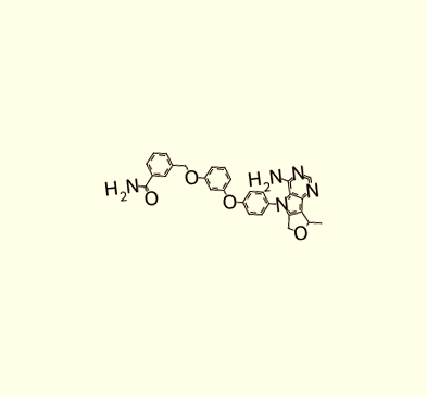 CC1OCc2c1c1ncnc(N)c1n2-c1ccc(Oc2cccc(OCc3cccc(C(N)=O)c3)c2)cc1